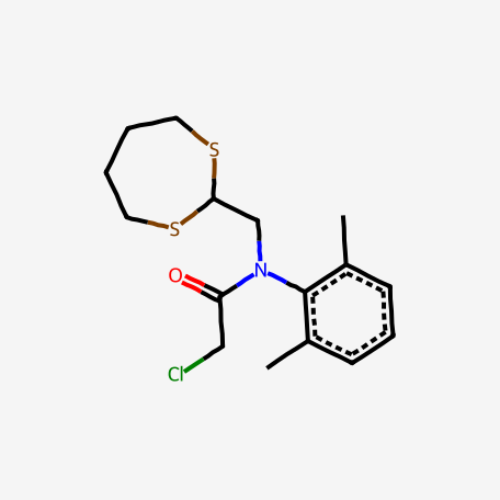 Cc1cccc(C)c1N(CC1SCCCCS1)C(=O)CCl